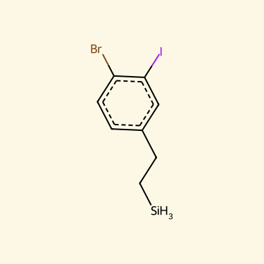 [SiH3]CCc1ccc(Br)c(I)c1